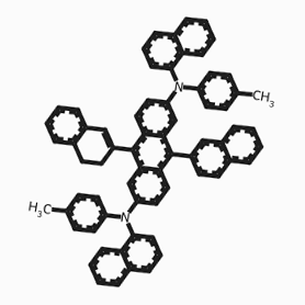 Cc1ccc(N(c2ccc3c(-c4ccc5ccccc5c4)c4cc(N(c5ccc(C)cc5)c5cccc6ccccc56)ccc4c(C4=Cc5ccccc5CC4)c3c2)c2cccc3ccccc23)cc1